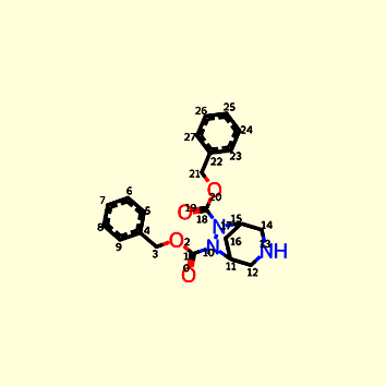 O=C(OCc1ccccc1)N1C2CNCC(C2)N1C(=O)OCc1ccccc1